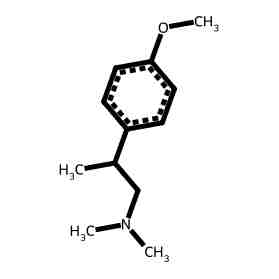 COc1ccc(C(C)CN(C)C)cc1